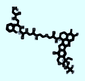 CC[C@@]1(OC(=O)C(F)(F)F)C(=O)OCc2c1cc1n(c2=O)Cc2c-1nc1cc(F)c(C)c3c1c2[C@@H](NC(=O)COCCNC(=O)CNC(=O)[C@H](Cc1ccccc1)NC(=O)CNC(=O)CN)CC3